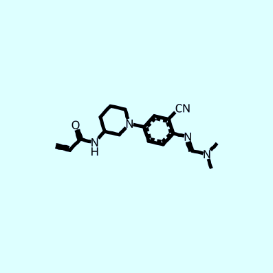 C=CC(=O)NC1CCCN(c2ccc(N=CN(C)C)c(C#N)c2)C1